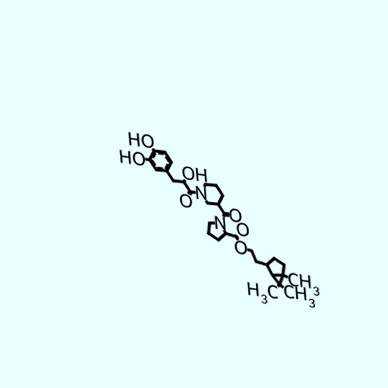 CC1(C)C2C(CCOC(=O)C3CCCN3C(=O)C3CCCN(C(=O)C(O)Cc4ccc(O)c(O)c4)C3)CCC21C